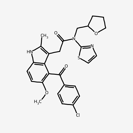 COc1ccc2[nH]c(C)c(CC(=O)N(CC3CCCO3)c3nccs3)c2c1C(=O)c1ccc(Cl)cc1